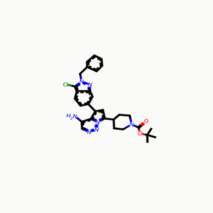 CC(C)(C)OC(=O)N1CCC(c2cc(-c3ccc4c(Cl)n(Cc5ccccc5)nc4c3)c3c(N)cnnn23)CC1